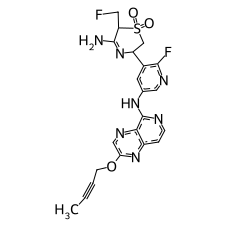 CC#CCOc1cnc2c(Nc3cnc(F)c(C4CS(=O)(=O)C(CF)C(N)=N4)c3)nccc2n1